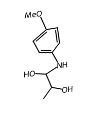 COc1ccc(NC(O)C(C)O)cc1